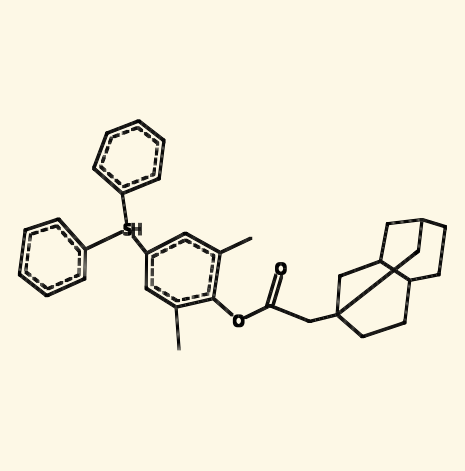 Cc1cc([SH](c2ccccc2)c2ccccc2)cc(C)c1OC(=O)CC12CCC3CCC(CC3C1)C2